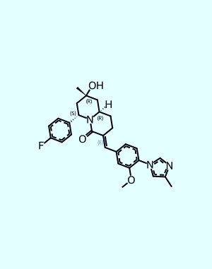 COc1cc(/C=C2\CC[C@@H]3C[C@@](C)(O)C[C@@H](c4ccc(F)cc4)N3C2=O)ccc1-n1cnc(C)c1